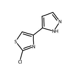 Clc1nc(-c2ccn[nH]2)cs1